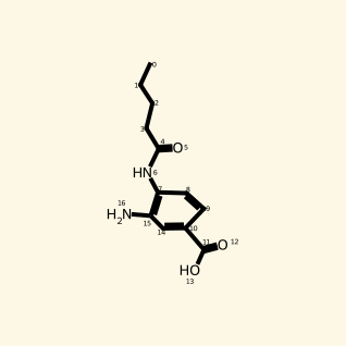 CCCCC(=O)Nc1ccc(C(=O)O)cc1N